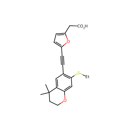 CCSc1cc2c(cc1C#Cc1ccc(CC(=O)O)o1)C(C)(C)CCO2